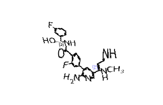 CN/C(=C\C=N)c1cnc(N)c(-c2ccc(C(=O)N[C@H](CO)c3cccc(F)c3)c(F)c2)c1